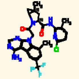 Cc1ccc(Cl)nc1NC(=O)[C@@H]1C[C@@]2(C)CC2N1C(=O)Cn1c2ncnc(N)c2c2cc(C(F)(F)F)cc(C)c21